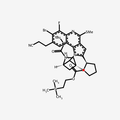 CSc1nc2c(F)c(Br)c(CCC#N)cc2c2c1cc([C@H]1CCCN1C(=O)OCC[Si](C)(C)C)n2[C@H]1[C@@H]2C[C@H]1N(C(=O)OC(C)(C)C)C2